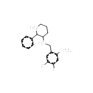 COc1cc(F)c(F)cc1CNC1CCCNC1c1ccccc1